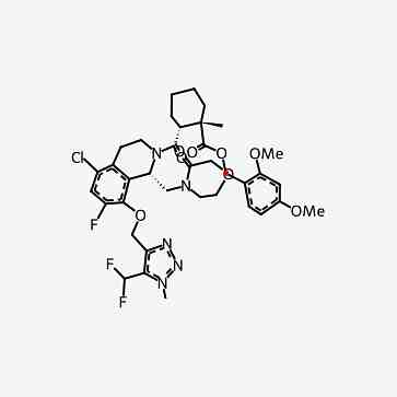 COc1ccc(COC(=O)[C@@]2(C)CCCC[C@H]2C(=O)N2CCc3c(Cl)cc(F)c(OCc4nnn(C)c4C(F)F)c3[C@H]2CN2CCOCC2=O)c(OC)c1